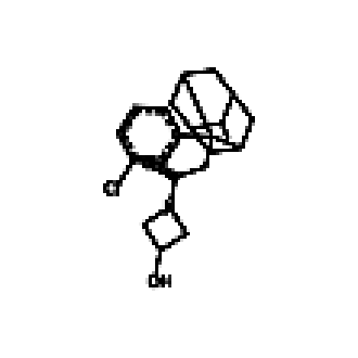 CC1C2CC3CC1CC(C2)C3(CC(=O)N1CC(O)C1)c1cccc(Cl)c1